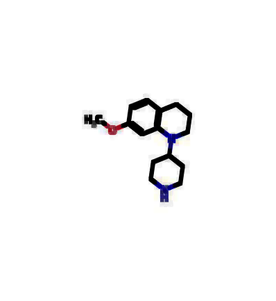 COc1ccc2c(c1)N(C1CCNCC1)CCC2